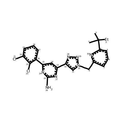 CCC(C)(C)c1cccc(Cn2cc(-c3cc(-c4cccc(Cl)c4Cl)nc(N)n3)nn2)n1